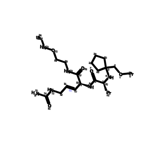 CC(C)OCC1(N[C@H](C(=O)N[C@@H](/C=C/CNC(N)=O)C(=O)NCCONC(C)(C)C)C(C)C)CCCC1